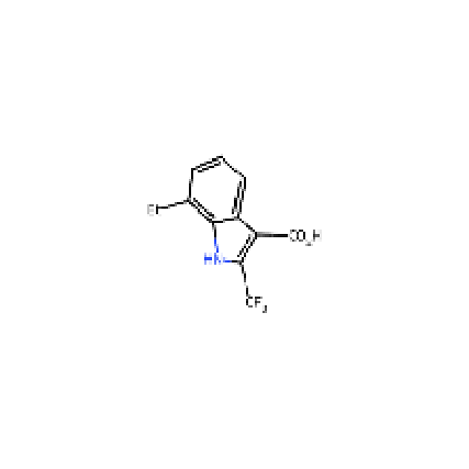 CCc1cccc2c(C(=O)O)c(C(F)(F)F)[nH]c12